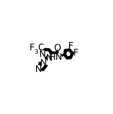 O=C(Nc1ccc(F)c(F)c1)c1cc(C(F)(F)F)nc(-n2ccnc2)n1